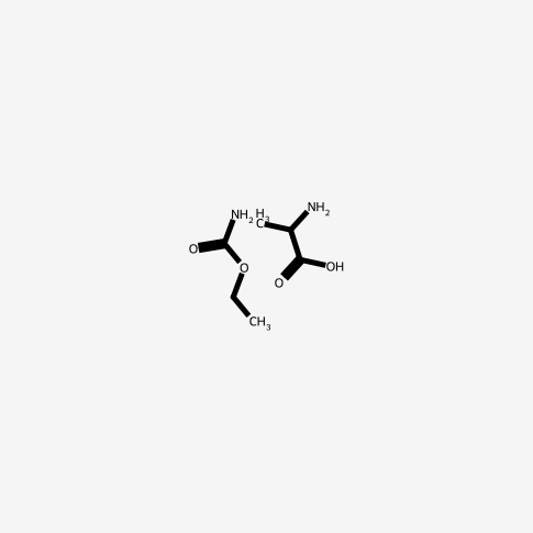 CC(N)C(=O)O.CCOC(N)=O